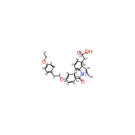 CCOc1ccc(CCOc2ccc(C(=O)n3c(C)cc4c(CC(=O)O)cccc43)cc2)cc1